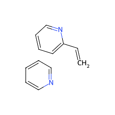 C=Cc1ccccn1.c1ccncc1